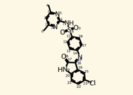 Cc1cc(C)nc(NS(=O)(=O)c2ccc(/N=C3\C(=O)Nc4ccc(Cl)cc43)cc2)n1